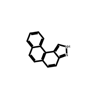 c1ccc2c(c1)ccc1ccc3n[nH]cc3c12